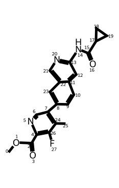 COC(=O)c1ncc(-c2ccc3cc(NC(=O)C4CC4)ncc3c2)c(C)c1F